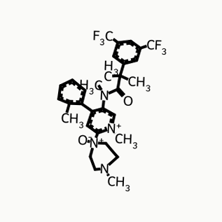 Cc1ccccc1-c1cc([N+]2([O-])CCN(C)CC2)[n+](C)cc1N(C)C(=O)C(C)(C)c1cc(C(F)(F)F)cc(C(F)(F)F)c1